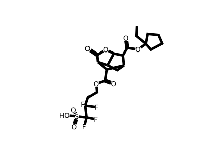 CCC1(OC(=O)C2C3CC4C2OC(=O)C4C3C(=O)OCCC(F)(F)C(F)(F)S(=O)(=O)O)CCCC1